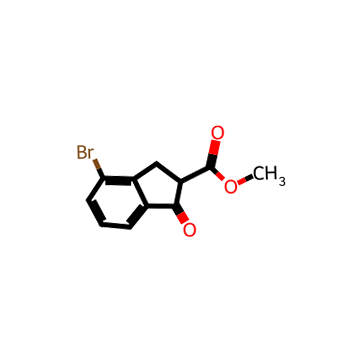 COC(=O)C1Cc2c(Br)cccc2C1=O